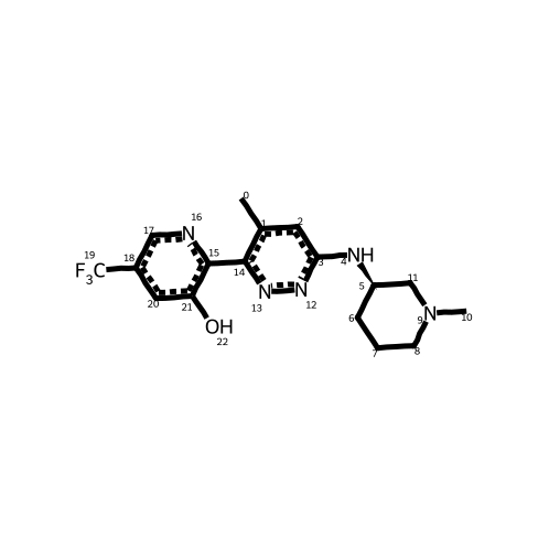 Cc1cc(N[C@@H]2CCCN(C)C2)nnc1-c1ncc(C(F)(F)F)cc1O